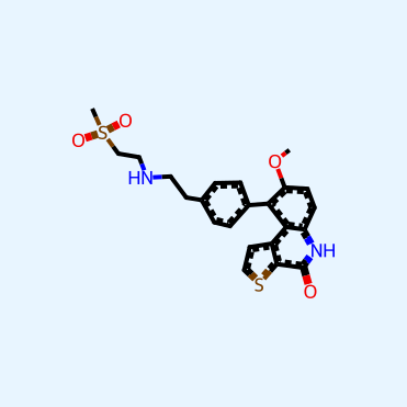 COc1ccc2[nH]c(=O)c3sccc3c2c1-c1ccc(CCNCCS(C)(=O)=O)cc1